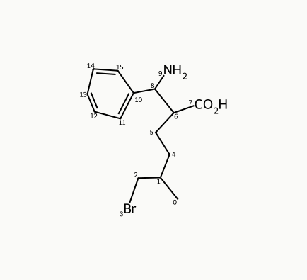 CC(CBr)CCC(C(=O)O)C(N)c1ccccc1